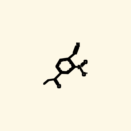 CCC(=O)c1ccc(C#N)c([N+](=O)[O-])c1